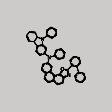 C1=CC2c3ccc(N(c4ccccc4)c4ccc5ccc6ccc7nc(-c8ccccc8-c8ccccc8)oc7c6c5c4)cc3N(c3ccccc3)C2C=C1